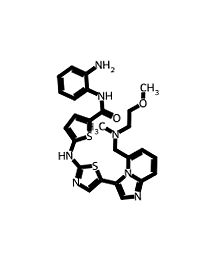 COCCN(C)Cc1cccc2ncc(-c3cnc(Nc4ccc(C(=O)Nc5ccccc5N)s4)s3)n12